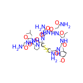 CC[C@H](C)[C@@H]1NC(=O)[C@H](Cc2ccc(OC)cc2)NC(=O)[C@@H](N)CSSC[C@@H](C(=O)N2CCC[C@H]2C(=O)N[C@@H](CC(C)C)C(=O)NCC(N)=O)NC(=O)[C@H](CC(N)=O)NC(=O)[C@H](CCC(N)=O)NC1=O